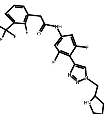 O=C(Cc1cccc(C(F)(F)F)c1F)Nc1cc(F)c(-c2cn(CC3CCCN3)nn2)c(F)c1